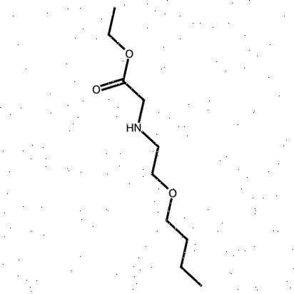 CCCCOCCNCC(=O)OCC